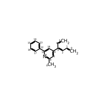 C=C/C=C(\C=C)c1cc(C)nc(-c2ccccc2)c1